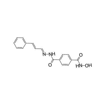 O=C(NO)c1ccc(C(=O)N/N=C/C=C/c2ccccc2)cc1